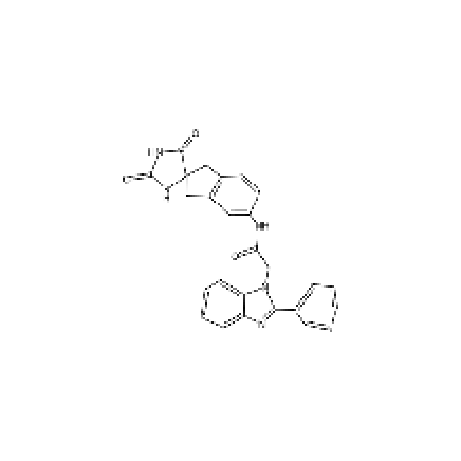 O=C(Cn1c(-c2ccccc2)nc2ccccc21)Nc1ccc2c(c1)CC1(C2)NC(=O)NC1=O